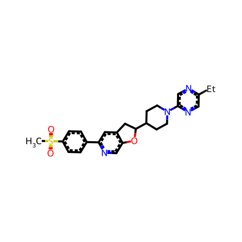 CCc1cnc(N2CCC(C3Cc4cc(-c5ccc(S(C)(=O)=O)cc5)ncc4O3)CC2)cn1